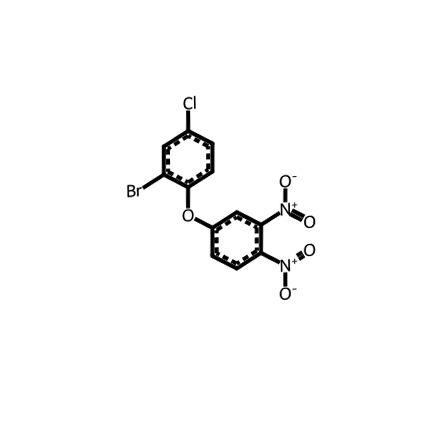 O=[N+]([O-])c1ccc(Oc2ccc(Cl)cc2Br)cc1[N+](=O)[O-]